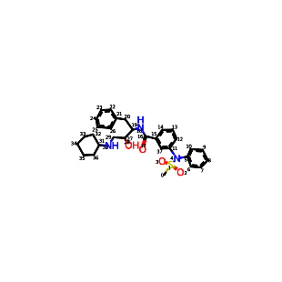 CS(=O)(=O)N(c1ccccc1)c1cccc(C(=O)NC(Cc2ccccc2)C(O)CNC2CCCCC2)c1